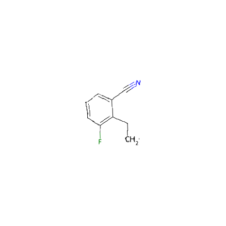 [CH2]Cc1c(F)cccc1C#N